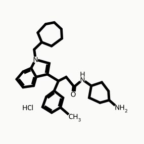 Cc1cccc(C(CC(=O)NC2CCC(N)CC2)c2cn(CC3CCCCCC3)c3ccccc23)c1.Cl